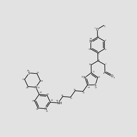 COc1ccc(C(CC=O)Cc2csc(CCCCNc3cc(N4CCSCC4)ccn3)n2)cn1